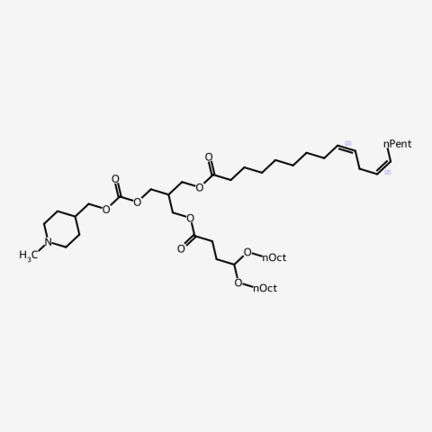 CCCCC/C=C\C/C=C\CCCCCCCC(=O)OCC(COC(=O)CCC(OCCCCCCCC)OCCCCCCCC)COC(=O)OCC1CCN(C)CC1